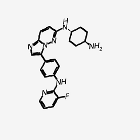 N[C@H]1CC[C@H](Nc2ccc3ncc(-c4ccc(Nc5ncccc5F)cc4)n3n2)CC1